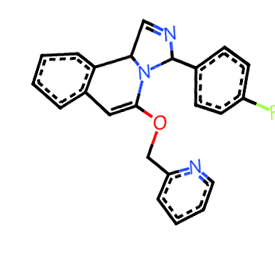 Fc1ccc(C2N=CC3c4ccccc4C=C(OCc4ccccn4)N32)cc1